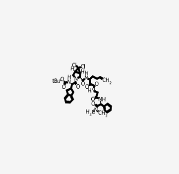 C=CCCC(NC(=O)[C@@H]1[C@@H]2[C@H](CN1C(=O)[C@@H](NC(=O)OC(C)(C)C)C1Cc3ccccc3C1)C2(Cl)Cl)C(=O)C(=O)NCC(=O)N[C@H](C(=O)N(C)C)c1ccccc1